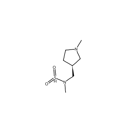 CN1CC[C@H](CN(C)[SH](=O)=O)C1